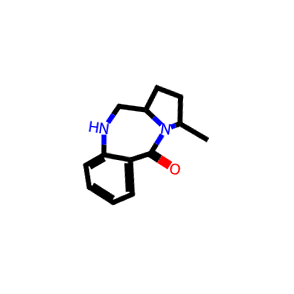 CC1CCC2CNc3ccccc3C(=O)N12